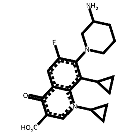 NC1CCCN(c2c(F)cc3c(=O)c(C(=O)O)cn(C4CC4)c3c2C2CC2)C1